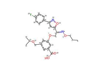 CCCO/N=C(\COc1cc(COC(C)C)cc(C(=O)O)c1)c1cc(-c2ccc(F)cc2)no1